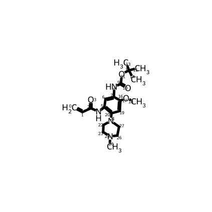 C=CC(=O)Nc1cc(NC(=O)OC(C)(C)C)c(OC)cc1N1CCN(C)CC1